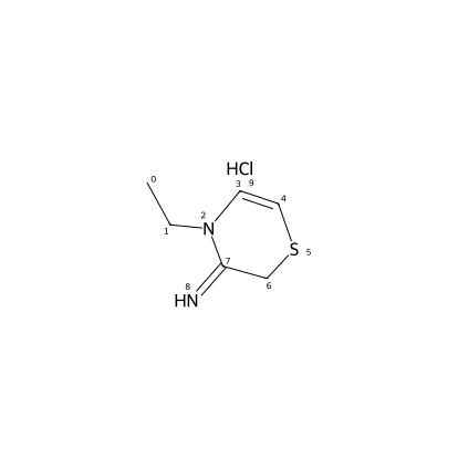 CCN1C=CSCC1=N.Cl